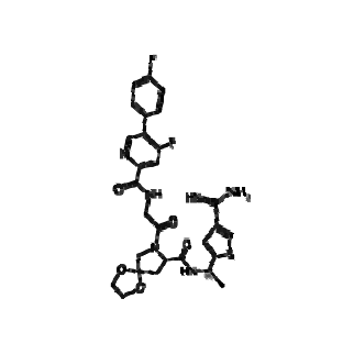 C[C@@H](NC(=O)C1CC2(CN1C(=O)CNC(=O)c1cc(F)c(-c3ccc(F)cc3)cn1)OCCO2)c1cc(C(=N)N)cs1